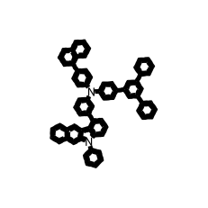 c1ccc(-c2cc(-c3ccccc3)cc(-c3ccc(N(c4ccc(-c5cccc6ccccc56)cc4)c4cccc(-c5cccc6c5c5cc7ccccc7cc5n6-c5ccccc5)c4)cc3)c2)cc1